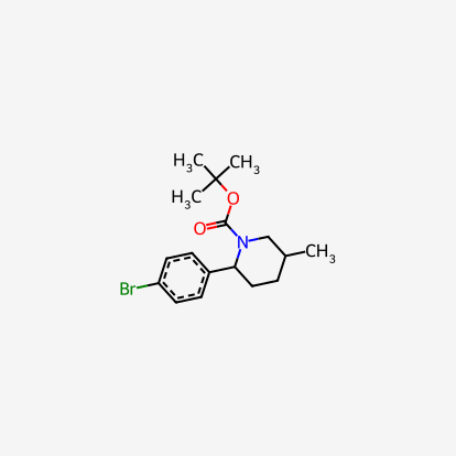 CC1CCC(c2ccc(Br)cc2)N(C(=O)OC(C)(C)C)C1